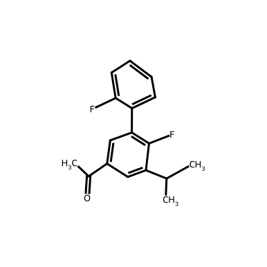 CC(=O)c1cc(-c2ccccc2F)c(F)c(C(C)C)c1